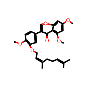 COc1cc(OC)c2c(=O)c(-c3ccc(OC)c(OCC=C(C)CCC=C(C)C)c3)coc2c1